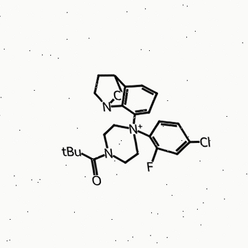 CC(C)(C)C(=O)N1CC[N+](c2ccc(Cl)cc2F)(c2cccc3c2N2CCC3CC2)CC1